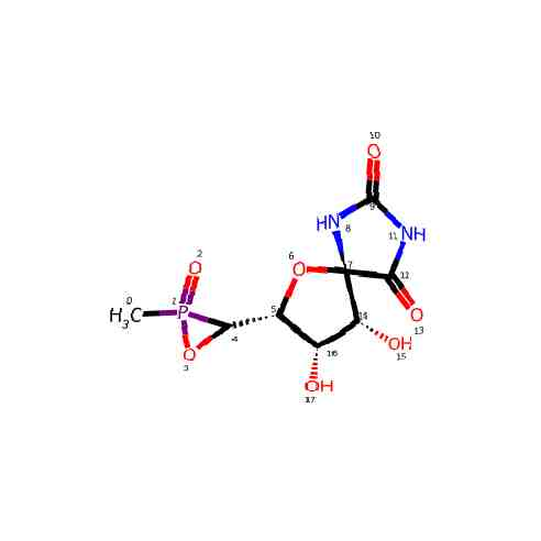 CP1(=O)OC1[C@@H]1O[C@@]2(NC(=O)NC2=O)[C@H](O)[C@@H]1O